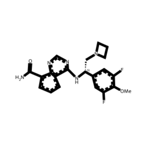 COc1c(F)cc([C@@H](CN2CCC2)Nc2ncnc3c(C(N)=O)cccc23)cc1F